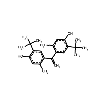 C=C(c1cc(C(C)(C)C)c(O)cc1C)c1cc(C(C)(C)C)c(O)cc1C